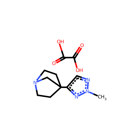 Cn1ncc(C23CCN(CC2)C3)n1.O=C(O)C(=O)O